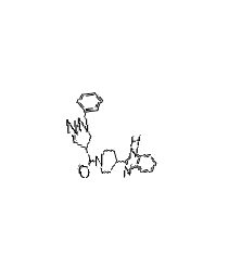 O=C(C1C=NN(c2ccccc2)C1)N1CCC(c2nc3ccccc3[nH]2)CC1